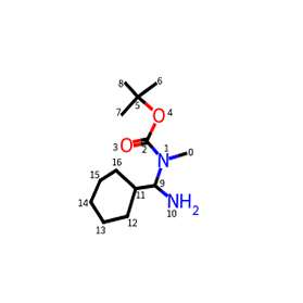 CN(C(=O)OC(C)(C)C)C(N)C1CCCCC1